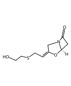 O=C1C[C@H]2OC(=CCSCCO)CN12